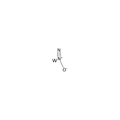 N#[N+][O-].[W]